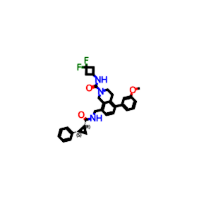 COc1cccc(-c2ccc(CNC(=O)[C@@H]3C[C@@H]3c3ccccc3)c3c2CCN(C(=O)NC2CC(F)(F)C2)C3)c1